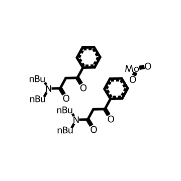 CCCCN(CCCC)C(=O)CC(=O)c1ccccc1.CCCCN(CCCC)C(=O)CC(=O)c1ccccc1.[O]=[Mo]=[O]